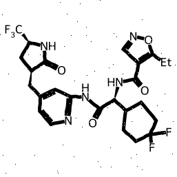 CCc1oncc1C(=O)N[C@H](C(=O)Nc1cc(C[C@H]2C[C@@H](C(F)(F)F)NC2=O)ccn1)C1CCC(F)(F)CC1